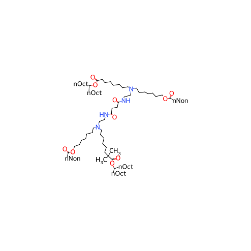 CCCCCCCCCC(=O)OCCCCCCCN(CCCCCCCC(=O)OC(CCCCCCCC)CCCCCCCC)CCNC(=O)CCC(=O)NCCN(CCCCCCCOC(=O)CCCCCCCCC)CCCCCCC(C)(C)C(=O)OC(CCCCCCCC)CCCCCCCC